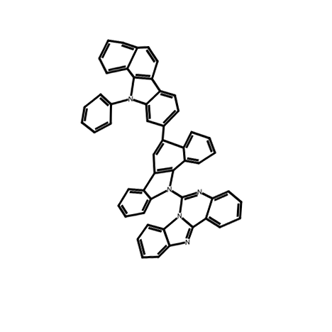 c1ccc(-n2c3cc(-c4cc5c6ccccc6n(-c6nc7ccccc7c7nc8ccccc8n67)c5c5ccccc45)ccc3c3ccc4ccccc4c32)cc1